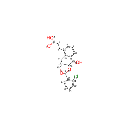 O=C(O)CCc1ccccc1CC1COC(c2ccccc2Cl)OC1CO